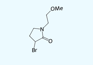 COCCN1CCC(Br)C1=O